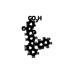 O=C(O)c1ccc2c(c1)C(=O)C(=Cc1ccc3c(c1)c1ccc4ccccc4c1n3-c1ccc3ccccc3c1)C2=O